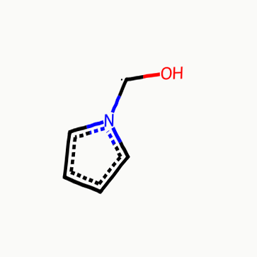 O[CH]n1cccc1